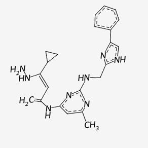 C=C(/C=C(\NN)C1CC1)Nc1cc(C)nc(NCc2nc(-c3ccccc3)c[nH]2)n1